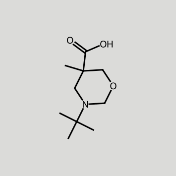 CC1(C(=O)O)COCN(C(C)(C)C)C1